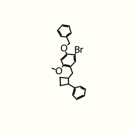 COc1cc(OCc2ccccc2)c(Br)cc1CC1CCC1c1ccccc1